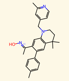 C/C(=N\O)c1cc2c(cc1-c1ccc(C)cc1)C(C)(C)CCN2Cc1ccnc(C)c1